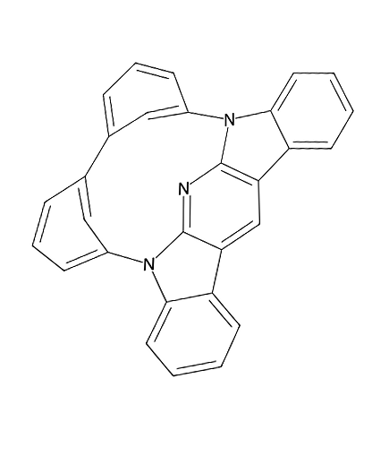 c1ccc2c(c1)c1cc3c4ccccc4n4c5cccc(c5)c5cccc(c5)n2c1nc34